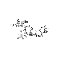 CC1(C)C[C@@H](C[C@@H](C#N)NC(=O)[C@@H]2CC3(CCC3)CN2C(=O)[C@@H](NC(=O)C(F)(F)F)C(C)(C)C)C(=O)N1